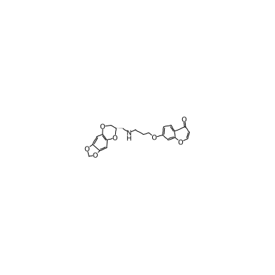 O=c1ccoc2cc(OCCCNC[C@H]3COc4cc5c(cc4O3)OCO5)ccc12